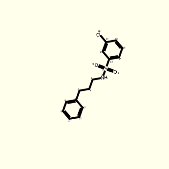 O=S(=O)(NCCCc1ccccc1)c1cccc(Cl)c1